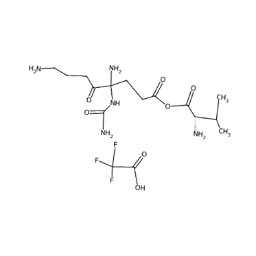 CC(C)[C@H](N)C(=O)OC(=O)CCC(N)(NC(N)=O)C(=O)CCCN.O=C(O)C(F)(F)F